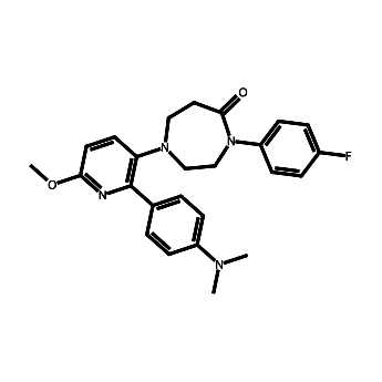 COc1ccc(N2CCC(=O)N(c3ccc(F)cc3)CC2)c(-c2ccc(N(C)C)cc2)n1